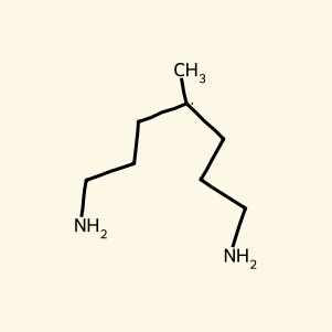 C[C](CCCN)CCCN